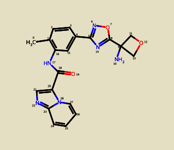 Cc1ccc(-c2noc(C3(N)COC3)n2)cc1NC(=O)c1cnc2ccccn12